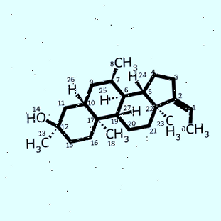 C/C=C1/CC[C@H]2[C@@H]3[C@H](C)C[C@H]4C[C@](C)(O)CC[C@]4(C)[C@H]3CC[C@]12C